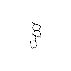 CN1CCc2cnc(N3CCOCC3)nc2C1